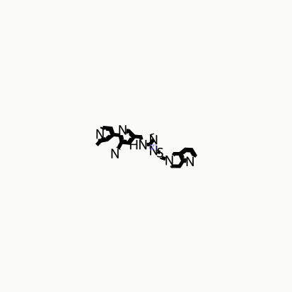 C=N/C(=N\SCN1CCc2ncccc2C1)NCc1cnc(-c2ccnc(C)c2)c(C#N)c1